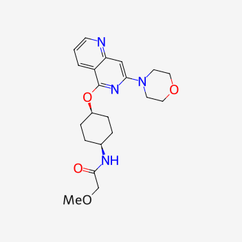 COCC(=O)N[C@H]1CC[C@@H](Oc2nc(N3CCOCC3)cc3ncccc23)CC1